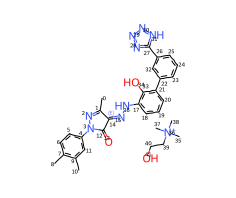 CC1=NN(c2ccc(C)c(C)c2)C(=O)/C1=N/Nc1cccc(-c2cccc(-c3nnn[nH]3)c2)c1O.C[N+](C)(C)CCO